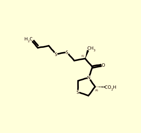 C=CCSSC[C@@H](C)C(=O)N1CSC[C@H]1C(=O)O